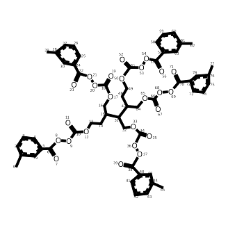 Cc1cccc(C(=O)OOC(=O)OCCC(COC(=O)OOC(=O)c2cccc(C)c2)C(COC(=O)OOC(=O)c2cccc(C)c2)C(CCOC(=O)OOC(=O)c2cccc(C)c2)COC(=O)OOC(=O)c2cccc(C)c2)c1